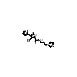 CCc1c(C(=O)NCCCn2ccnc2)noc1-c1ccco1